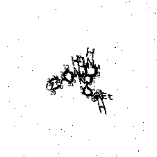 CCNS(=O)(=O)c1cccc(-c2cc3cc[nH]c(=O)c3c(Nc3ccc(N4CCOCC4)cc3)n2)c1